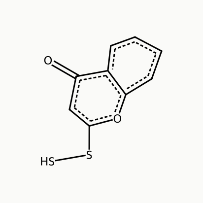 O=c1cc(SS)oc2ccccc12